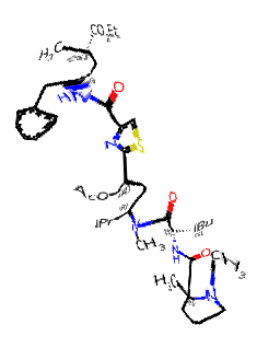 CCOC(=O)[C@@H](C)C[C@H](Cc1ccccc1)NC(=O)c1csc([C@@H](C[C@H](C(C)C)N(C)C(=O)[C@@H](NC(=O)[C@@]2(C)CCCN2C)[C@@H](C)CC)OC(C)=O)n1